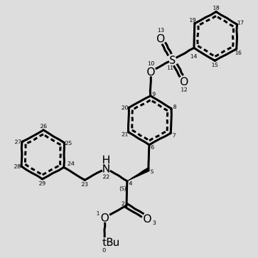 CC(C)(C)OC(=O)[C@H](Cc1ccc(OS(=O)(=O)c2ccccc2)cc1)NCc1ccccc1